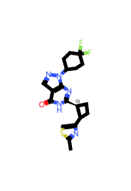 Cc1nc(C2CC[C@@H]2c2nc3c(cnn3C3CCC(F)(F)CC3)c(=O)[nH]2)cs1